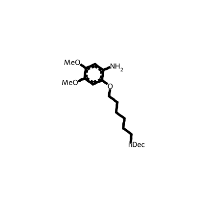 CCCCCCCCCCCCCCCCOc1cc(OC)c(OC)cc1N